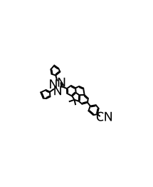 CC1(C)c2cc(-c3ccc(C#N)cc3)cc3ccc4cc(-c5nc(-c6ccccc6)nc(-c6ccccc6)n5)cc1c4c23